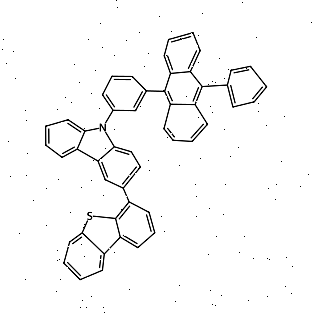 c1ccc(-c2c3ccccc3c(-c3cccc(-n4c5ccccc5c5cc(-c6cccc7c6sc6ccccc67)ccc54)c3)c3ccccc23)cc1